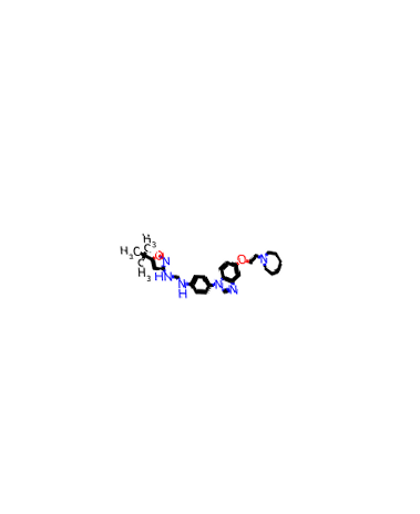 CC(C)(C)c1cc(NCNc2ccc(-n3cnc4cc(OCCN5CCCCCC5)ccc43)cc2)no1